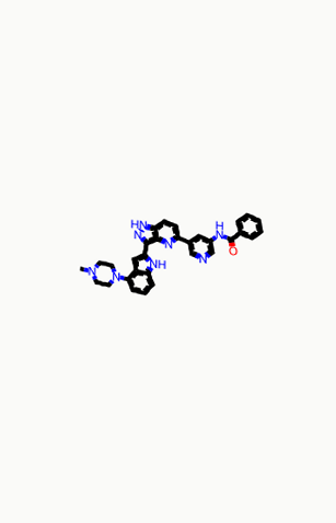 CN1CCN(c2cccc3[nH]c(-c4n[nH]c5ccc(-c6cncc(NC(=O)c7ccccc7)c6)nc45)cc23)CC1